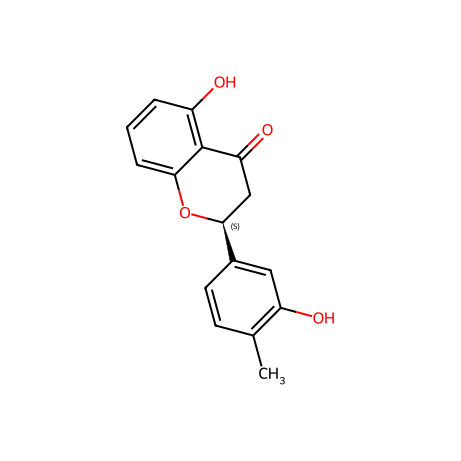 Cc1ccc([C@@H]2CC(=O)c3c(O)cccc3O2)cc1O